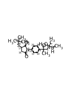 CBC(C)(C)CC(C)(C)c1ccc(N2C(=O)CC(SC(C)(C)C)C2=O)cc1